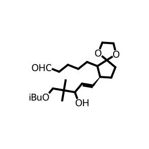 CC(C)COCC(C)(C)C(O)C=C[C@@H]1CCC2(OCCO2)C1CCCCC=O